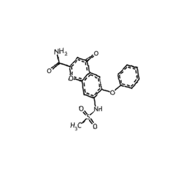 CS(=O)(=O)Nc1cc2oc(C(N)=O)cc(=O)c2cc1Oc1ccccc1